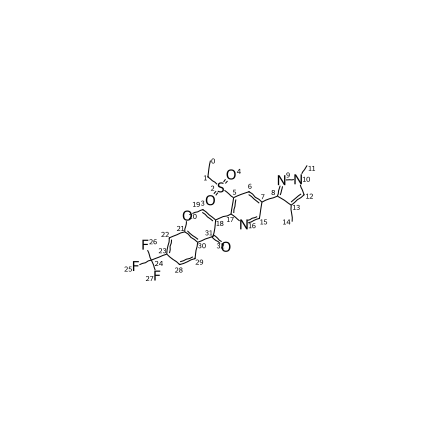 CCS(=O)(=O)c1cc(-c2nn(C)cc2C)cnc1-c1coc2cc(C(F)(F)F)ccc2c1=O